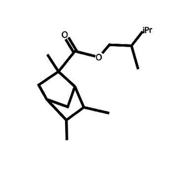 CC(C)C(C)COC(=O)C1(C)CC2CC1C(C)C2C